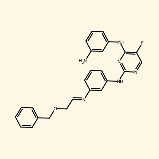 Nc1cccc(Nc2nc(Nc3cccc(N=CCOCc4ccccc4)c3)ncc2F)c1